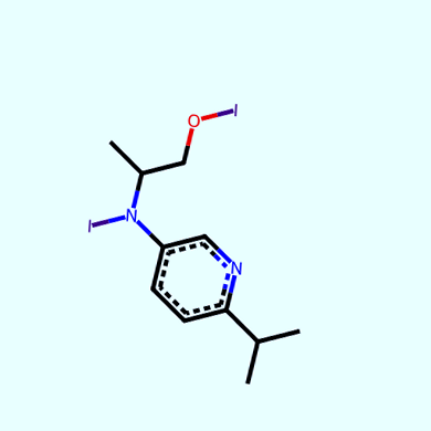 CC(C)c1ccc(N(I)C(C)COI)cn1